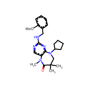 COc1ccccc1CNc1ncc2c(n1)N(C1CCCC1)CC(C)(C)C(=O)N2C